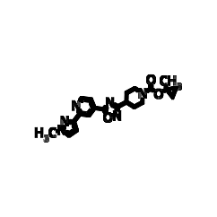 Cn1ccc(-c2cc(-c3nc(C4CCN(C(=O)OC5(C)CC5)CC4)no3)ccn2)n1